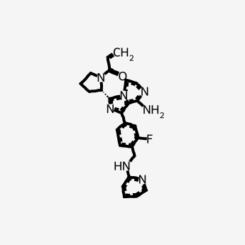 C=CC(=O)N1CCC[C@H]1c1nc(-c2ccc(CNc3ccccn3)c(F)c2)c2c(N)nccn12